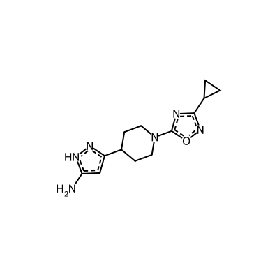 Nc1cc(C2CCN(c3nc(C4CC4)no3)CC2)n[nH]1